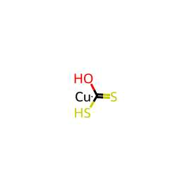 OC(=S)S.[Cu]